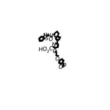 O=C(O)c1nc(-c2ccc3c(c2)N(C(=O)Nc2nc4ccccc4s2)CCC3)ccc1OCCCOc1ccc2c(c1)OCO2